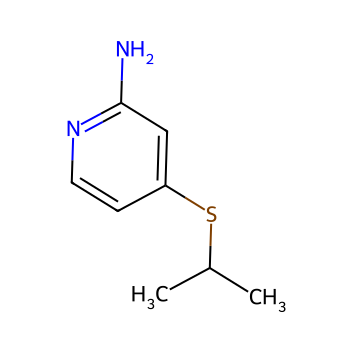 CC(C)Sc1ccnc(N)c1